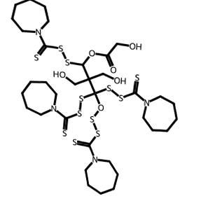 O=C(CO)OC(SSC(=S)N1CCCCCC1)C(CO)(CO)C(OSSC(=S)N1CCCCCC1)(SSC(=S)N1CCCCCC1)SSC(=S)N1CCCCCC1